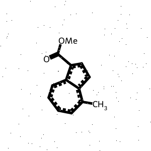 COC(=O)c1ccc2c(C)ccccc1-2